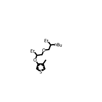 CCCCC(CC)COCC(CC)Oc1cscc1C